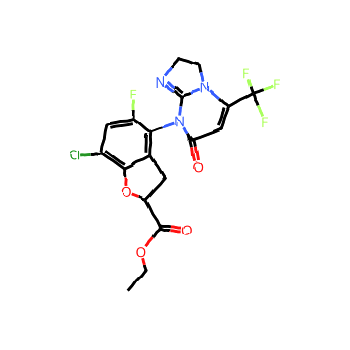 CCOC(=O)C1Cc2c(c(Cl)cc(F)c2N2C(=O)C=C(C(F)(F)F)N3CCN=C32)O1